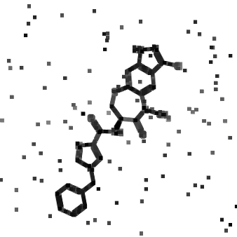 CN1C(=O)[C@@H](NC(=O)c2cn(Cc3ccccc3)cn2)CSc2cc3[nH]nc(Cl)c3cc21